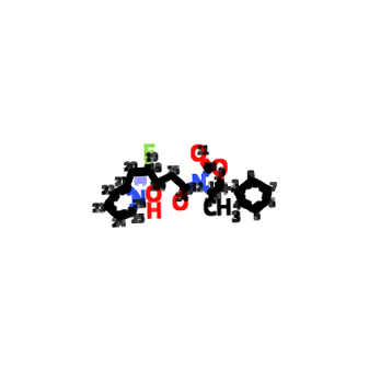 C[C@H]1[C@@H](c2ccccc2)OC(=O)N1C(=O)C[C@@H](O)/C(F)=C\c1ccccn1